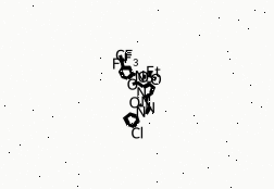 CCS(=O)(=O)c1ccc(-n2ncn(-c3cccc(Cl)c3)c2=O)nc1-c1nc2cc(C(F)(F)C(F)(F)F)ccc2o1